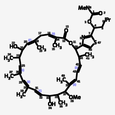 CNC(=O)OC(CC(C)C)c1nc(C2OC(=O)/C(C)=C/C/C(C)=C/C(O)C(C)/C=C(C)/C=C(C)\C=C\C(O)C(C)C(OC)/C(C)=C/C=C/C2C)cs1